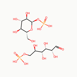 O=C[C@H](O)[C@@H](O)[C@H](O)[C@H](O)COP(=O)(O)O.O=P(O)(O)O[C@H]1O[C@H](CO)[C@@H](O)[C@H](O)[C@H]1O